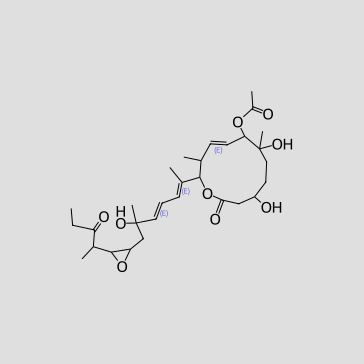 CCC(=O)C(C)C1OC1CC(C)(O)/C=C/C=C(\C)C1OC(=O)CC(O)CCC(C)(O)C(OC(C)=O)/C=C/C1C